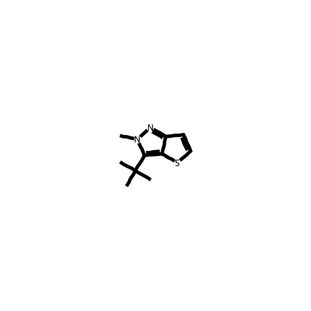 Cn1nc2ccsc2c1C(C)(C)C